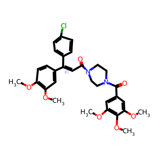 COc1ccc(/C(=C/C(=O)N2CCN(C(=O)c3cc(OC)c(OC)c(OC)c3)CC2)c2ccc(Cl)cc2)cc1OC